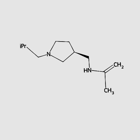 C=C(C)NC[C@@H]1CCN(CC(C)C)C1